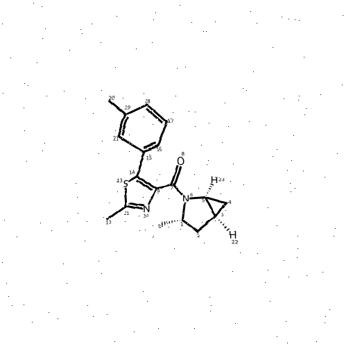 [CH2][C@H]1C[C@@H]2C[C@@H]2N1C(=O)c1nc(C)sc1-c1cccc(C)c1